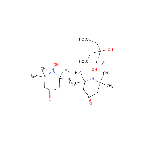 CC1(C)CC(=O)CC(C)(C)N1O.CC1(C)CC(=O)CC(C)(C)N1O.O=C(O)CC(O)(CC(=O)O)C(=O)O